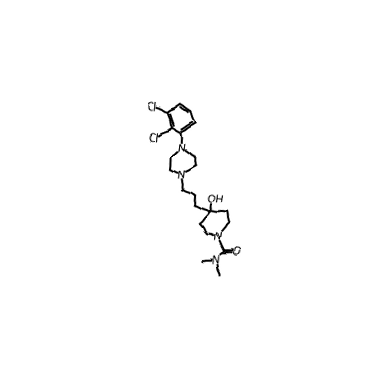 CN(C)C(=O)N1CCC(O)(CCCN2CCN(c3cccc(Cl)c3Cl)CC2)CC1